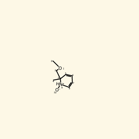 COCC1(C)C=CC=C[NH+]1[O-]